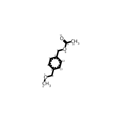 COCc1ccc(COC(C)=O)cc1